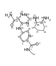 CNC(=O)c1ccc(Nc2nc(N[C@@H]3CCCC[C@@H]3N)nnc2C(N)=O)cn1